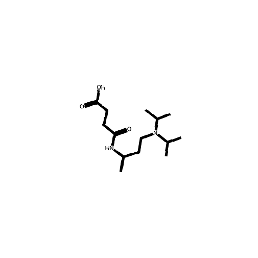 CC(CCN(C(C)C)C(C)C)NC(=O)CCC(=O)O